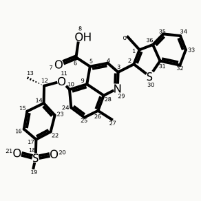 Cc1c(-c2cc(C(=O)O)c3c(O[C@@H](C)c4ccc(S(C)(=O)=O)cc4)ccc(C)c3n2)sc2ccccc12